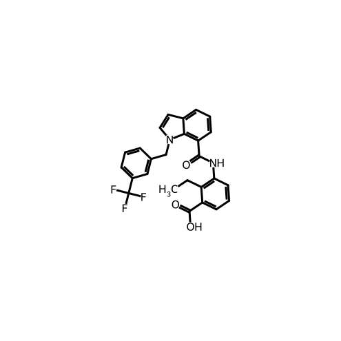 CCc1c(NC(=O)c2cccc3ccn(Cc4cccc(C(F)(F)F)c4)c23)cccc1C(=O)O